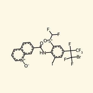 O=C(Nc1c(I)cc(C(F)(C(F)(F)F)C(F)(F)Br)cc1[S+]([O-])C(F)F)c1ccc2ccc[n+]([O-])c2c1